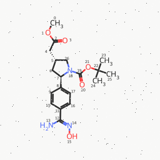 COC(=O)C[C@H]1C[C@H](c2ccc(C(N)=NO)cc2)N(C(=O)OC(C)(C)C)C1